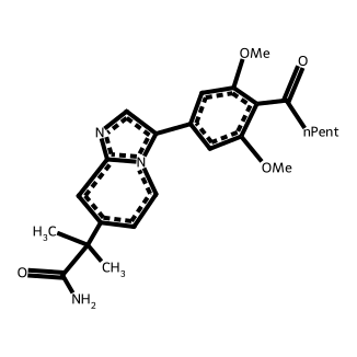 CCCCCC(=O)c1c(OC)cc(-c2cnc3cc(C(C)(C)C(N)=O)ccn23)cc1OC